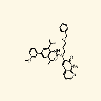 COc1cccc(-c2cc(C(C)C)c(NC(=O)N(CCCOCc3ccccc3)c3cc4cccnc4[nH]c3=O)c(C(C)C)c2)c1